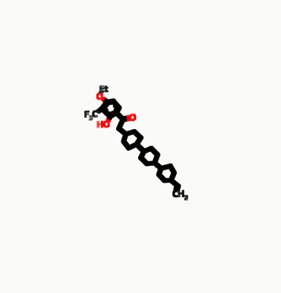 C=CC1CCC(C2CCC(C3CCC(CC(=O)c4ccc(OCC)c(C(F)(F)F)c4O)CC3)CC2)CC1